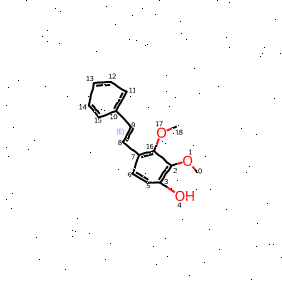 COc1c(O)ccc(/C=C/c2ccccc2)c1OC